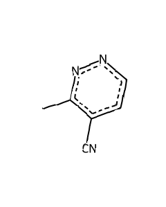 Cc1nnccc1C#N